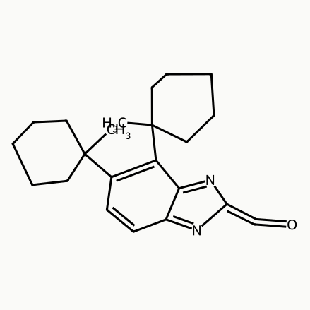 CC1(c2ccc3c(c2C2(C)CCCCC2)=NC(=C=O)N=3)CCCCC1